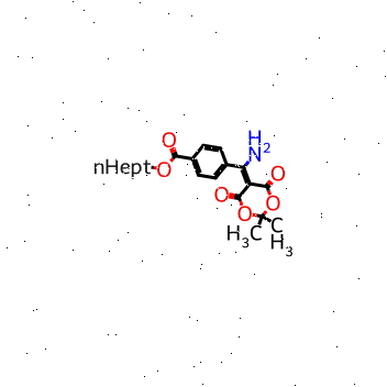 CCCCCCCOC(=O)c1ccc(C(N)=C2C(=O)OC(C)(C)OC2=O)cc1